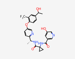 CC(O)c1ccc(Oc2ccc([C@@H](C)NC(=O)C3(NC(=O)c4cncc(O)c4)CC3)nc2)c(C(F)(F)F)c1